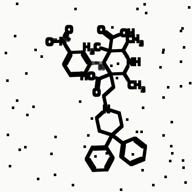 CC1NC(C)C(CCN2CCC(c3ccccc3)(c3ccccc3)CC2)(C(=O)O)[C@H](c2cccc([N+](=O)[O-])c2)C1(C)C(=O)O